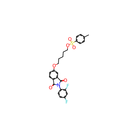 Cc1ccc(S(=O)(=O)OCCCCCOc2ccc3c(c2)C(=O)N(c2ccc(F)cc2F)C3=O)cc1